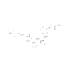 COc1nc(-c2cccc(-c3cccc(-c4ccc5c(n4)N(C)CCC5NCC4CCC(=O)N4)c3Cl)c2Cl)ccc1CNCC1CCC(=O)N1